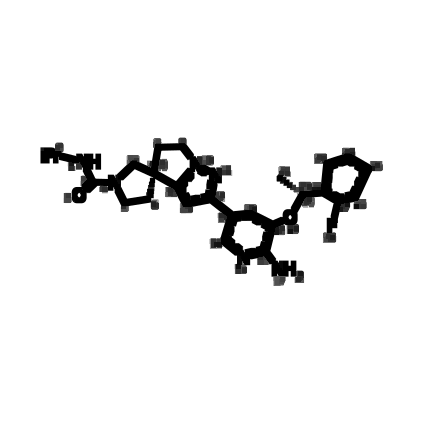 CC(C)NC(=O)N1CC[C@@]2(CCn3nc(-c4cnc(N)c(O[C@H](C)c5ccccc5F)c4)cc32)C1